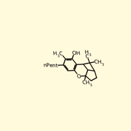 CCCCCc1cc2c(c(O)c1C)C1C3C(CCC3(C)O2)C1(C)C